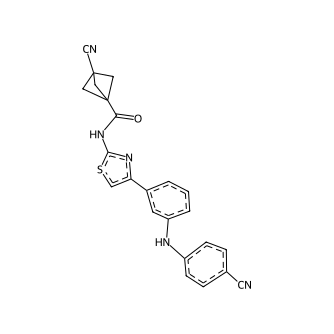 N#Cc1ccc(Nc2cccc(-c3csc(NC(=O)C45CC(C#N)(C4)C5)n3)c2)cc1